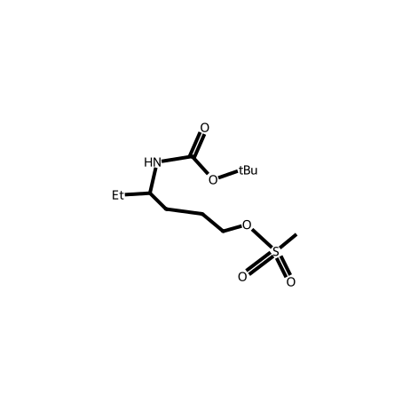 CCC(CCCOS(C)(=O)=O)NC(=O)OC(C)(C)C